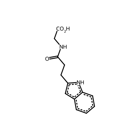 O=C(O)CNC(=O)CCc1cc2ccccc2[nH]1